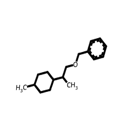 CC1CC[C](C(C)COCc2ccccc2)CC1